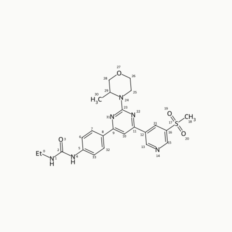 CCNC(=O)Nc1ccc(-c2cc(-c3cncc(S(C)(=O)=O)c3)nc(N3CCOCC3C)n2)cc1